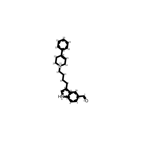 O=Cc1ccc2[nH]cc(CCCCN3CC=C(c4ccccc4)CC3)c2c1